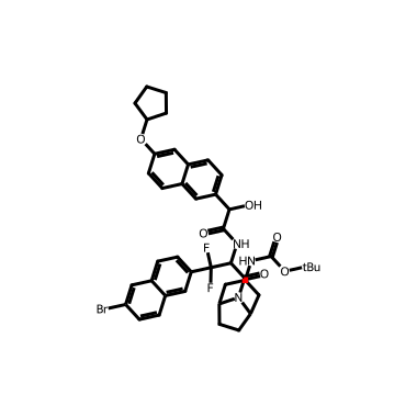 CC(C)(C)OC(=O)NC1CC2CCC(C1)N2C(=O)C(NC(=O)C(O)c1ccc2cc(OC3CCCC3)ccc2c1)C(F)(F)c1ccc2cc(Br)ccc2c1